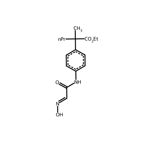 CCCC(C)(C(=O)OCC)c1ccc(NC(=O)/C=N/O)cc1